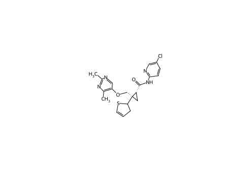 Cc1ncc(OC[C@@]2(C3CC=CS3)C[C@H]2C(=O)Nc2ccc(Cl)cn2)c(C)n1